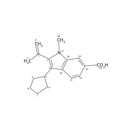 C=C(C)c1c(C2CCCC2)c2ccc(C(=O)O)cc2n1C